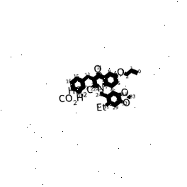 C=CCOc1ccc2c(c1)c(=O)c(Cc1cccc(C(=O)O)c1)c(C(=O)O)n2Cc1cc2c(cc1CC)OCO2